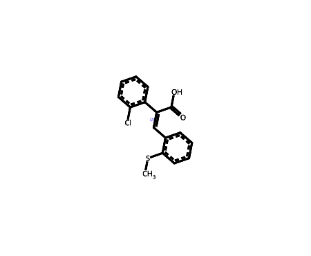 CSc1ccccc1/C=C(\C(=O)O)c1ccccc1Cl